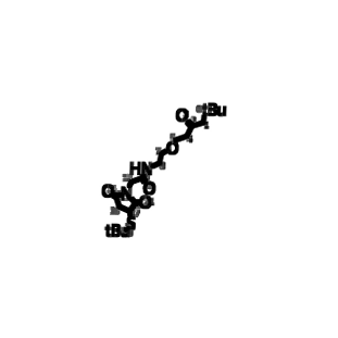 CC(C)(C)CC(=O)CCOCCNC(=O)CN1C(=O)CC(SC(C)(C)C)C1=O